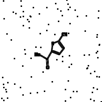 CCC(C)C(=O)c1ccc(C#N)s1